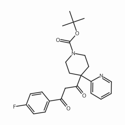 CC(C)(C)OC(=O)N1CCC(C(=O)CC(=O)c2ccc(F)cc2)(c2ccccn2)CC1